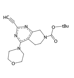 C#Cc1nc2c(c(N3CCOCC3)n1)CCN(C(=O)OC(C)(C)C)C2